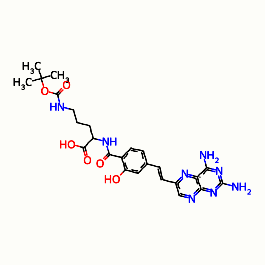 CC(C)(C)OC(=O)NCCCC(NC(=O)c1ccc(C=Cc2cnc3nc(N)nc(N)c3n2)cc1O)C(=O)O